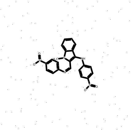 Cn1c(/C=N\c2ccc([N+](=O)[O-])cc2)c(Nc2ccc([N+](=O)[O-])cc2)c2ccccc21